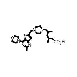 CCOC(=O)CC(C)CC(C)CN1CCN(Cc2cc3nc(C)nc(N4CCOCC4)c3s2)CC1